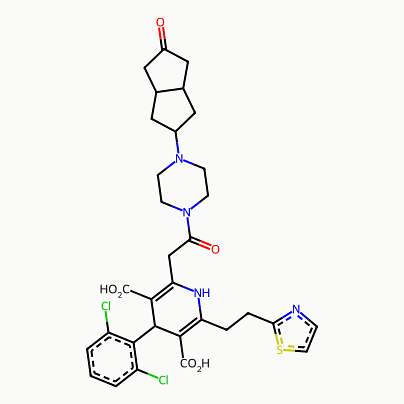 O=C1CC2CC(N3CCN(C(=O)CC4=C(C(=O)O)C(c5c(Cl)cccc5Cl)C(C(=O)O)=C(CCc5nccs5)N4)CC3)CC2C1